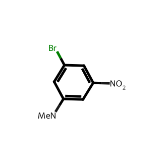 CNc1cc(Br)cc([N+](=O)[O-])c1